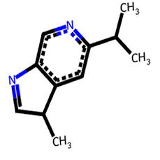 CC(C)c1cc2c(cn1)N=CC2C